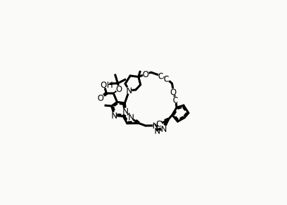 Cc1nc2cc3nn2c(c1[C@H](OC(C)(C)C)C(=O)O)N1CCC(C)(CC1)OCCCCOCc1ccccc1-c1cn(nn1)C3